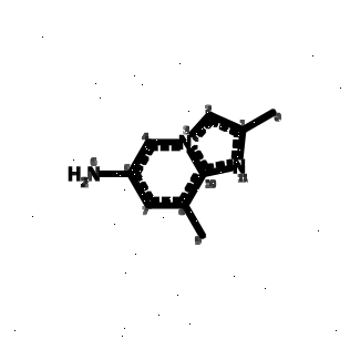 Cc1cn2cc(N)cc(C)c2n1